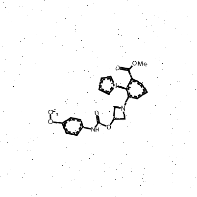 COC(=O)c1cccc(N2CC(OC(=O)Nc3ccc(OC(F)(F)F)cc3)C2)c1-n1cccc1